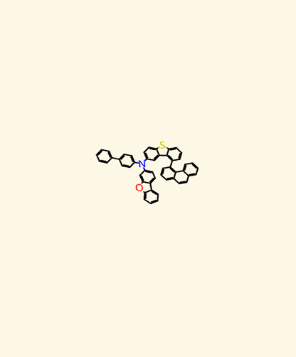 c1ccc(-c2ccc(N(c3ccc4c(c3)oc3ccccc34)c3ccc4sc5cccc(-c6cccc7ccc8ccccc8c67)c5c4c3)cc2)cc1